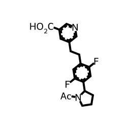 CC(=O)N1CCCC1c1cc(F)c(CCc2cncc(C(=O)O)c2)cc1F